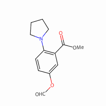 COC(=O)c1cc(OC=O)ccc1N1CCCC1